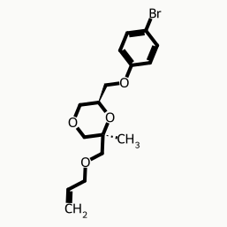 C=CCOC[C@@]1(C)COC[C@@H](COc2ccc(Br)cc2)O1